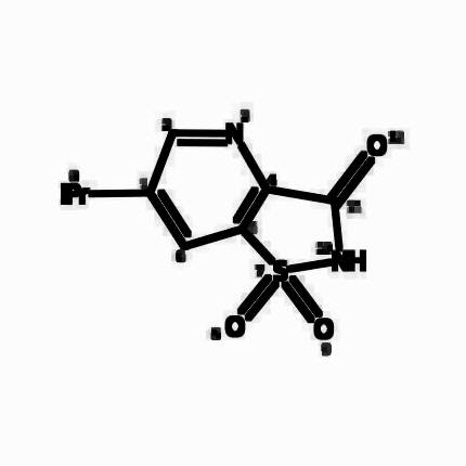 CC(C)c1cnc2c(c1)S(=O)(=O)NC2=O